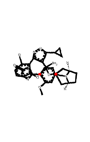 BC(B)(O[C@H]1C[C@H]2CC[C@@H](C1)N2c1ccc(-c2noc(=O)[nH]2)c(OC)c1)c1c(-c2c(Cl)cccc2Cl)noc1C1CC1